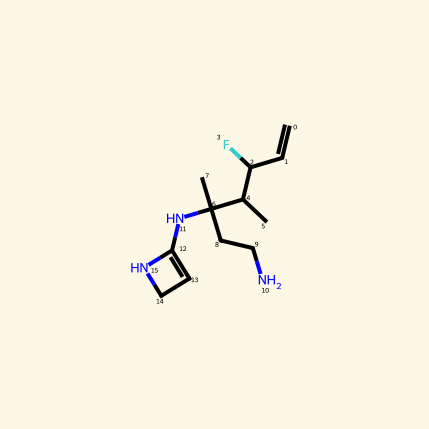 C=CC(F)C(C)C(C)(CCN)NC1=CCN1